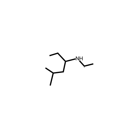 C[CH]NC(CC)CC(C)C